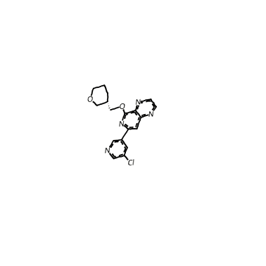 Clc1cncc(-c2cc3nccnc3c(OC[C@H]3CCCOC3)n2)c1